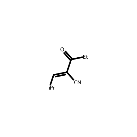 CCC(=O)/C(C#N)=C/C(C)C